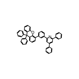 c1ccc(-c2cc(-c3ccccc3)nc(-c3cccc(-c4cccc5c4Oc4ccccc4C5(c4ccccc4)c4ccccc4)c3)c2)cc1